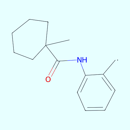 [CH2]c1ccccc1NC(=O)C1(C)CCCCC1